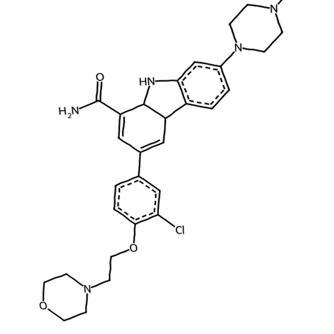 NC(=O)C1=CC(c2ccc(OCCN3CCOCC3)c(Cl)c2)=CC2c3ccc(N4CCN(C(=O)O)CC4)cc3NC12